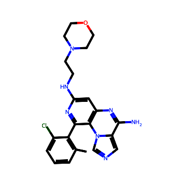 Cc1cccc(Cl)c1-c1nc(NCCN2CCOCC2)cc2nc(N)c3cncn3c12